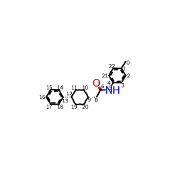 Cc1ccc(NC(=O)C[C@H]2CC[C@@H](c3ccccc3)CC2)cc1